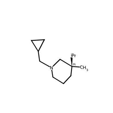 CC(C)[C@@]1(C)CCCN(CC2CC2)C1